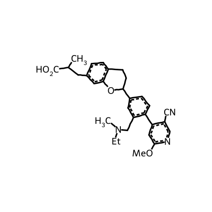 CCN(C)Cc1cc(C2CCc3ccc(CC(C)C(=O)O)cc3O2)ccc1-c1cc(OC)ncc1C#N